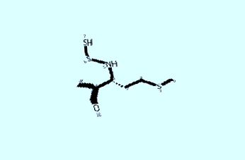 CSCC[C@@H](NSS)C(C)=O